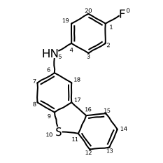 Fc1ccc(Nc2ccc3sc4ccccc4c3c2)cc1